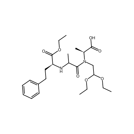 CCOC(=O)[C@H](CCc1ccccc1)NC(C)C(=O)N(CC(OCC)OCC)[C@@H](C)C(=O)O